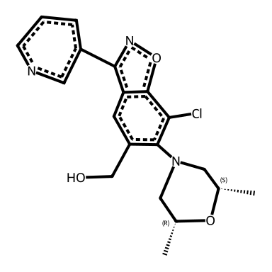 C[C@@H]1CN(c2c(CO)cc3c(-c4cccnc4)noc3c2Cl)C[C@H](C)O1